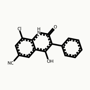 N#Cc1cc(Cl)c2[nH]c(=O)c(-c3ccccc3)c(O)c2c1